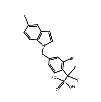 O=P(O)(O)C(F)(F)c1ccc(Cn2ccc3cc(F)ccc32)cc1Br